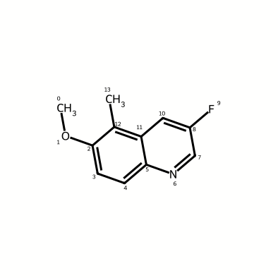 COc1ccc2ncc(F)cc2c1C